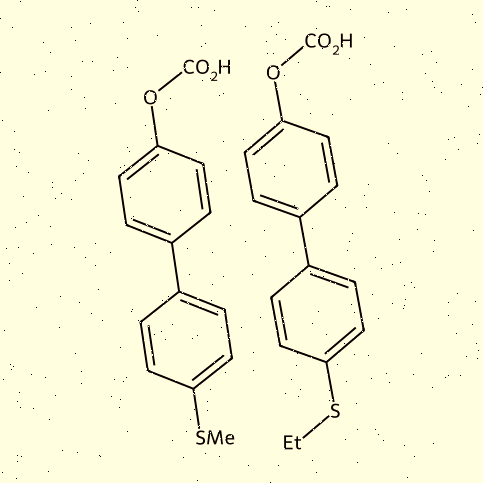 CCSc1ccc(-c2ccc(OC(=O)O)cc2)cc1.CSc1ccc(-c2ccc(OC(=O)O)cc2)cc1